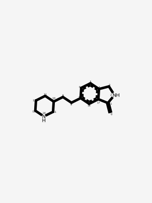 C=C1NCc2ccc(CCC3CCCNC3)cc21